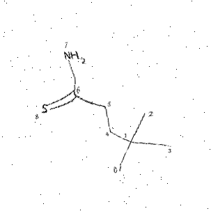 CC(C)(C)CCC(N)=S